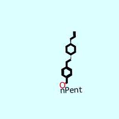 C=CC[C@H]1CC[C@H](CCc2ccc(COCCCCC)cc2)CC1